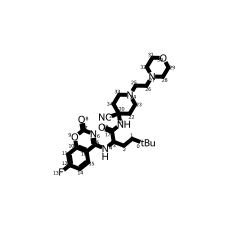 CC(C)(C)CCC(Nc1nc(=O)oc2cc(F)ccc12)C(=O)NC1(C#N)CCN(CCN2CCOCC2)CC1